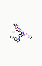 C=CC(=O)N1CCN(c2nc(OCCN3CCCC3)nc3c2CCC(N2CCCc4ccc(C(F)(F)F)cc42)C3)CC1CC#N